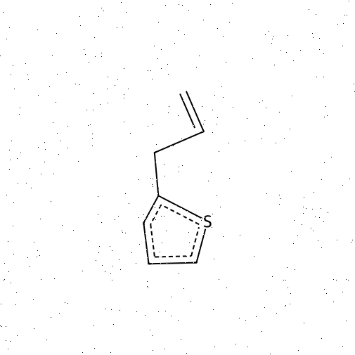 C=CCc1cccs1